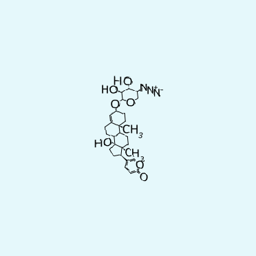 C[C@]12CC[C@H](OC3OC[C@H](N=[N+]=[N-])[C@@H](O)[C@@H]3O)C=C1CCC1C2CC[C@]2(C)[C@@H](c3ccc(=O)oc3)CC[C@]12O